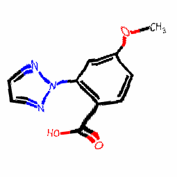 COc1ccc(C(=O)O)c(-n2nccn2)c1